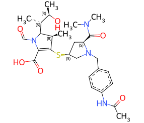 CC(=O)Nc1ccc(CN2C[C@@H](SC3=C(C(=O)O)N(C=O)C([C@H](C)[C@@H](C)O)[C@H]3C)C[C@H]2C(=O)N(C)C)cc1